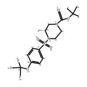 C[C@@H]1CN(C(=O)OC(C)(C)C)CCN1S(=O)(=O)c1ccc(OC(F)(F)F)cc1